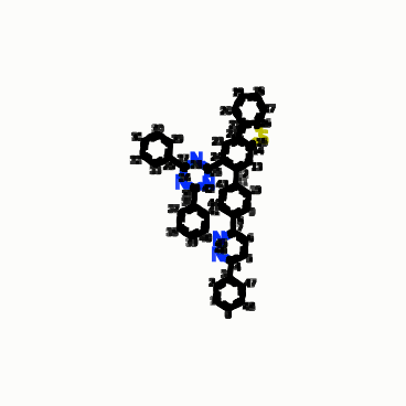 c1ccc(-c2ccc(-c3ccc(-c4cc5sc6ccccc6c5cc4-c4nc(-c5ccccc5)nc(-c5ccccc5)n4)cc3)nn2)cc1